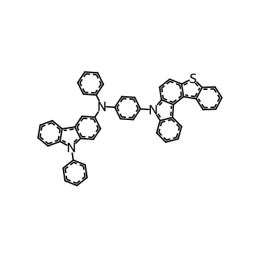 c1ccc(N(c2ccc(-n3c4ccccc4c4c5c(ccc43)sc3ccccc35)cc2)c2ccc3c(c2)c2ccccc2n3-c2ccccc2)cc1